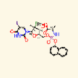 CC(C)OC(=O)[C@@H](C)NP(=O)(OC[C@H]1O[C@@H](n2cc(I)c(=O)[nH]c2=O)[C@](C)(F)[C@@H]1O)Oc1cccc2ccccc12